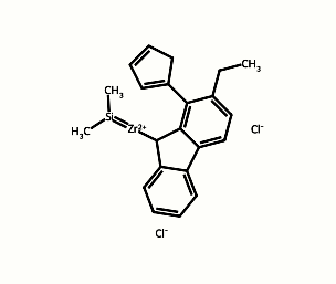 CCc1ccc2c(c1C1=CC=CC1)[CH]([Zr+2]=[Si](C)C)c1ccccc1-2.[Cl-].[Cl-]